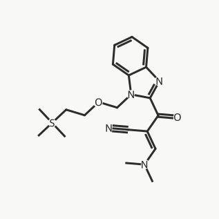 CN(C)/C=C(\C#N)C(=O)c1nc2ccccc2n1COCCS(C)(C)C